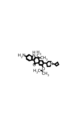 CC(C)Oc1cc2c(cc1C1CCN(C3CCC3)CC1)C(C)(C)c1[nH]c3cc(N)ccc3c1C2=O